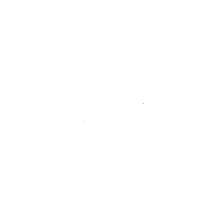 CCOC(OCC)O[SiH2]CCCC[SiH2]OC(OCC)OCC